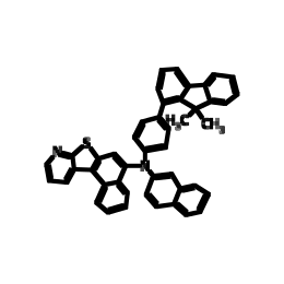 CC1(C)c2ccccc2-c2cccc(-c3ccc(N(c4ccc5ccccc5c4)c4cc5sc6ncccc6c5c5ccccc45)cc3)c21